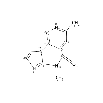 Cc1cc2c(=O)n(C)c3nccn3c2cn1